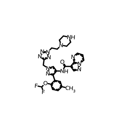 Cc1ccc(OC(F)F)c(-c2nn(Cc3nnn(CCN4CCNCC4)n3)cc2NC(=O)c2cnn3cccnc23)c1